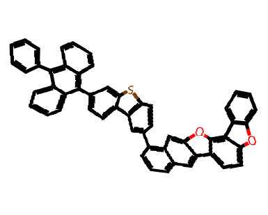 c1ccc(-c2c3ccccc3c(-c3ccc4c(c3)sc3ccc(-c5cccc6cc7c(cc56)oc5c7ccc6oc7ccccc7c65)cc34)c3ccccc23)cc1